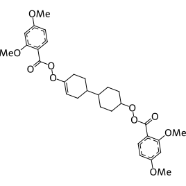 COc1ccc(C(=O)OOC2=CCC(C3CCC(OOC(=O)c4ccc(OC)cc4OC)CC3)CC2)c(OC)c1